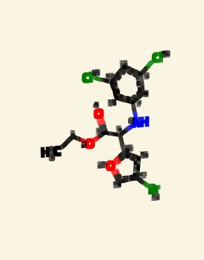 CCOC(=O)C(Nc1cc(Cl)cc(Cl)c1)c1cc(Br)co1